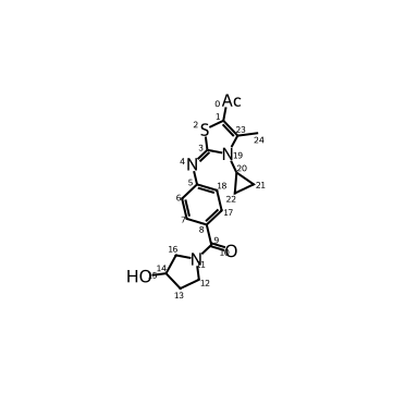 CC(=O)c1sc(=Nc2ccc(C(=O)N3CCC(O)C3)cc2)n(C2CC2)c1C